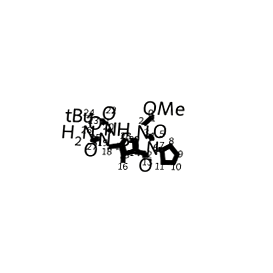 COCCn1c(=O)n(C2CCCC2)c(=O)c2c(C)c(CN(NC(=O)OC(C)(C)C)C(N)=O)sc21